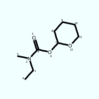 CCN(C)C(=O)OC1CCCCO1